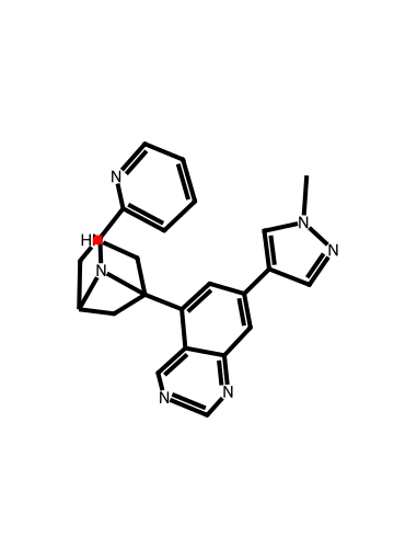 Cn1cc(-c2cc(C34CNCC(C3)N4Cc3ccccn3)c3cncnc3c2)cn1